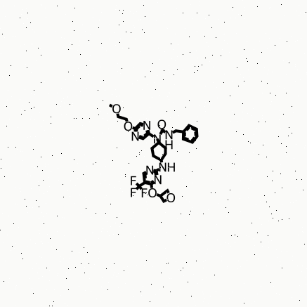 COCCOc1cnc(N(C(=O)NCc2ccccc2)C2CCC(Nc3ncc(C(F)(F)F)c(OC4COC4)n3)CC2)cn1